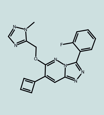 Cn1ncnc1COc1nn2c(-c3ccccc3F)nnc2cc1C1=CC=C1